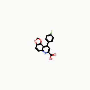 O=C(O)c1cc(-c2ccc(F)cc2)c2c3c(ccc2n1)OCO3